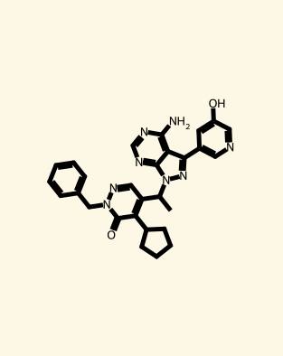 CC(c1cnn(Cc2ccccc2)c(=O)c1C1CCCC1)n1nc(-c2cncc(O)c2)c2c(N)ncnc21